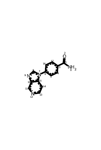 NC(=O)c1ccc(-n2cnc3cnccc32)cc1